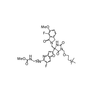 COC(=O)NCCNc1nc2cc([C@]3(CN4Cc5ccc(OC)c(F)c5C4=O)NC(=O)N(COCC[Si](C)(C)C)C3=O)oc2cc1F